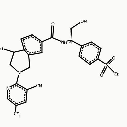 CCC1CN(c2ncc(C(F)(F)F)cc2C#N)Cc2cc(C(=O)N[C@@H](CO)c3ccc(S(=O)(=O)CC)cc3)ccc21